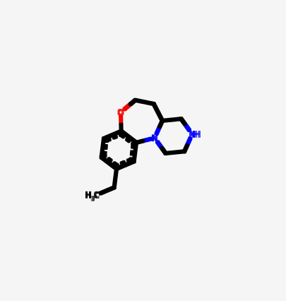 CCc1ccc2c(c1)N1CCNCC1CCO2